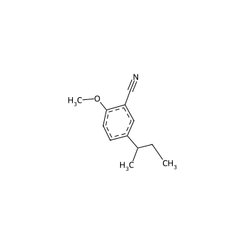 CCC(C)c1ccc(OC)c(C#N)c1